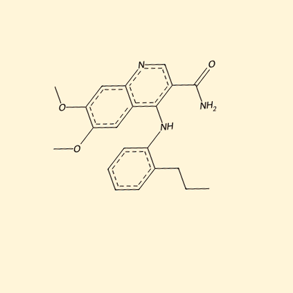 CCCc1ccccc1Nc1c(C(N)=O)cnc2cc(OC)c(OC)cc12